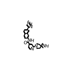 Cn1cc(-c2ccc3ccc(NC(=O)c4ccnc(N5CCC6(CC5)CNC6)c4)cc3c2)nn1